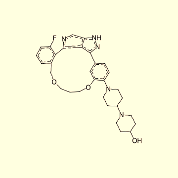 OC1CCN(C2CCN(c3ccc4cc3OCCCOCc3cccc(F)c3-c3cc5c-4n[nH]c5cn3)CC2)CC1